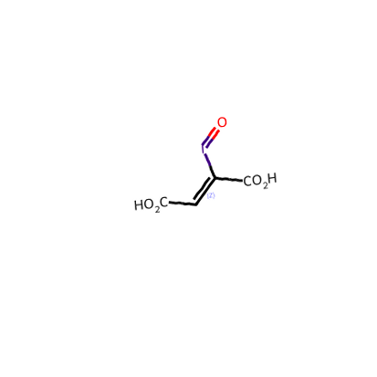 O=I/C(=C\C(=O)O)C(=O)O